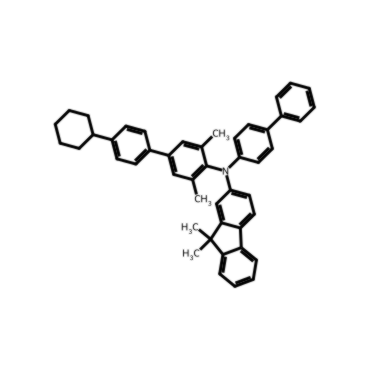 Cc1cc(-c2ccc(C3CCCCC3)cc2)cc(C)c1N(c1ccc(-c2ccccc2)cc1)c1ccc2c(c1)C(C)(C)c1ccccc1-2